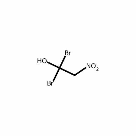 O=[N+]([O-])CC(O)(Br)Br